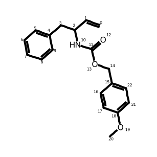 C=CC(Cc1ccccc1)NC(=O)OCc1ccc(OC)cc1